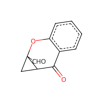 O=CC12CC1C(=O)c1ccccc1O2